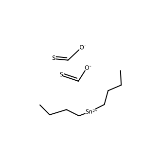 CCC[CH2][Sn+2][CH2]CCC.[O-]C=S.[O-]C=S